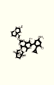 Cc1nc(-c2cc(N)cc(Cl)c2C2CC2)c(F)c2nc(OC[C@@]34CCCN3C[C@H](F)C4)nc(N3C[C@H]4CC[C@@H](C3)N4)c12